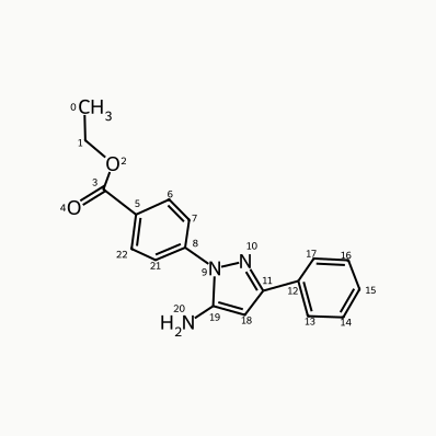 CCOC(=O)c1ccc(-n2nc(-c3ccccc3)cc2N)cc1